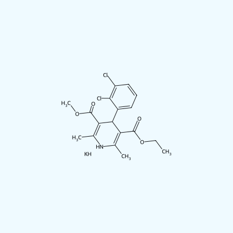 CCOC(=O)C1=C(C)NC(C)=C(C(=O)OC)C1c1cccc(Cl)c1Cl.[KH]